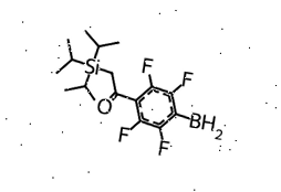 Bc1c(F)c(F)c(C(=O)C[Si](C(C)C)(C(C)C)C(C)C)c(F)c1F